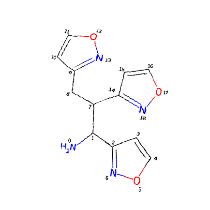 NC(c1ccon1)C(Cc1ccon1)c1ccon1